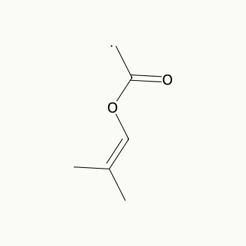 [CH2]C(=O)OC=C(C)C